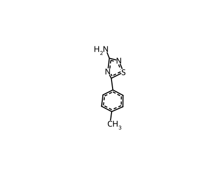 Cc1ccc(-c2nc(N)ns2)cc1